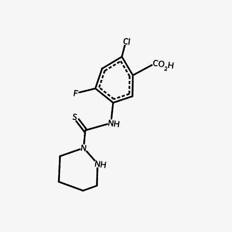 O=C(O)c1cc(NC(=S)N2CCCCN2)c(F)cc1Cl